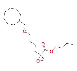 CCCCOC(=O)C1(CCCCOCC2CCCCCCC2)CO1